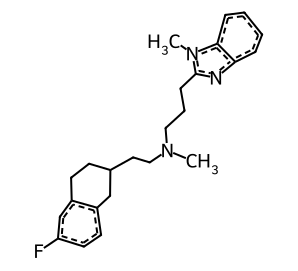 CN(CCCc1nc2ccccc2n1C)CCC1CCc2cc(F)ccc2C1